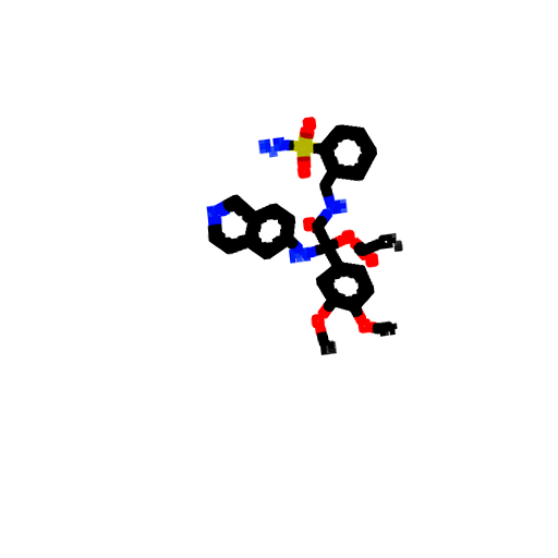 CCOc1cc(C(Nc2ccc3cnccc3c2)(OC(=O)C(F)(F)F)C(=O)NCc2ccccc2S(N)(=O)=O)ccc1OC(C)C